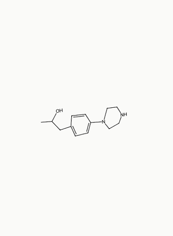 CC(O)Cc1ccc(N2CCNCC2)cc1